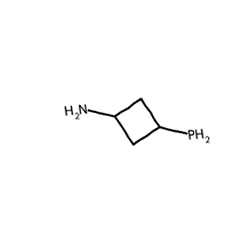 NC1CC(P)C1